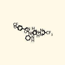 FC(F)(F)Oc1ccc(-c2cnc(N[C@@H]3CCCC[C@H]3N[C@H]3C[C@@H]4C[C@H]3N(c3ncc(C(F)(F)F)cn3)C4)o2)cc1